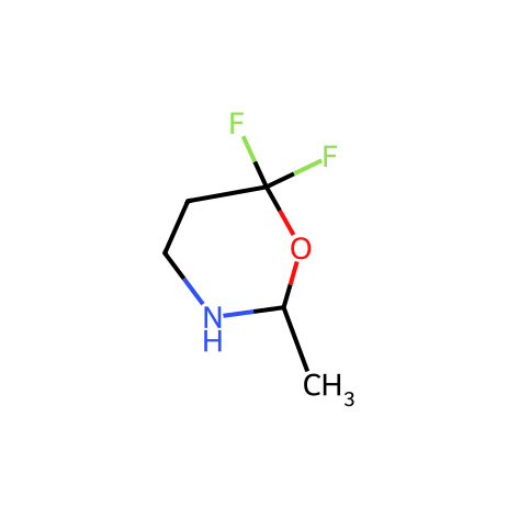 CC1NCCC(F)(F)O1